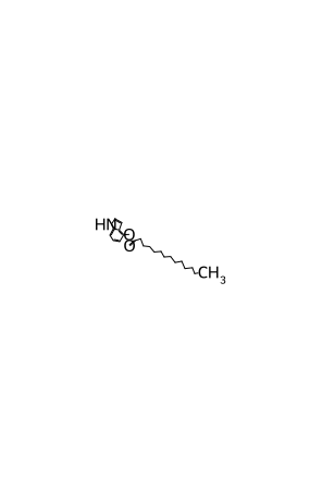 CCCCCCCCCCCCCC(=O)Oc1cccc2[nH]ccc12